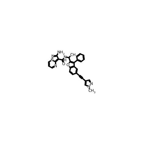 CC(NC(=O)c1c(N)nn2cccnc12)c1oc2ccc(C#Cc3cnn(C)c3)cc2c1-c1ccccc1